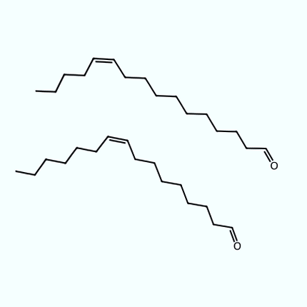 CCCC/C=C\CCCCCCCCCC=O.CCCCCC/C=C\CCCCCCCC=O